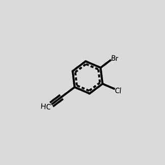 C#Cc1ccc(Br)c(Cl)c1